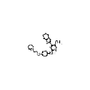 Cc1cnc(Nc2ccc(OCCN3CCCC3)cc2)nc1-c1cc2ccccc2s1